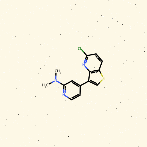 CN(C)c1cc(-c2csc3ccc(Cl)nc23)ccn1